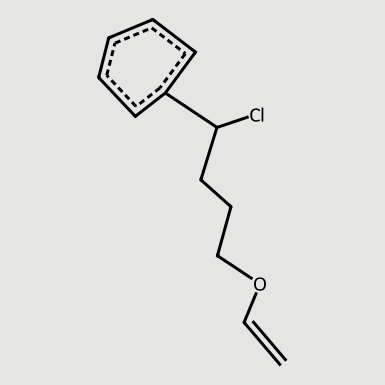 C=COCCCC(Cl)c1ccccc1